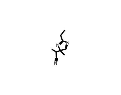 CCC1=NC(C)(C(C)C#N)C=N1